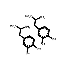 NC(Cc1ccc(O)c(O)c1)C(=O)O.NC(Cc1ccc(O)c(O)c1)C(=O)O